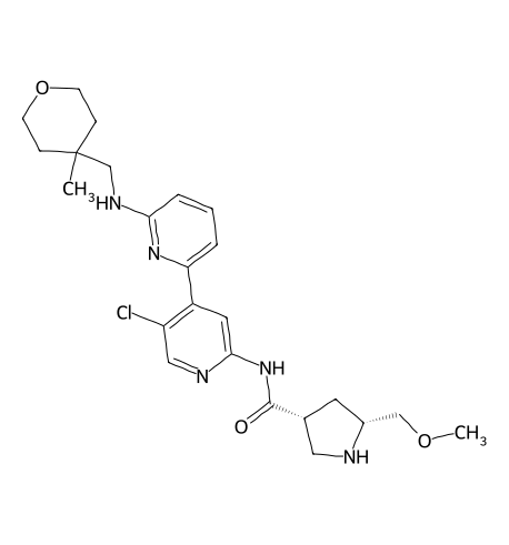 COC[C@H]1C[C@@H](C(=O)Nc2cc(-c3cccc(NCC4(C)CCOCC4)n3)c(Cl)cn2)CN1